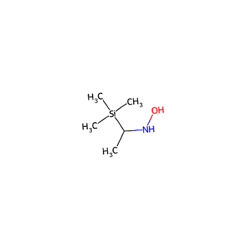 CC(NO)[Si](C)(C)C